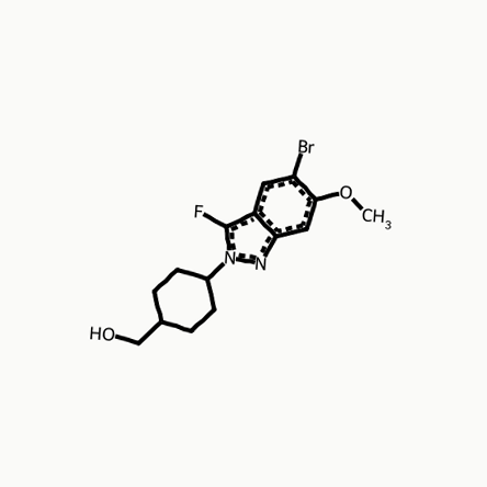 COc1cc2nn(C3CCC(CO)CC3)c(F)c2cc1Br